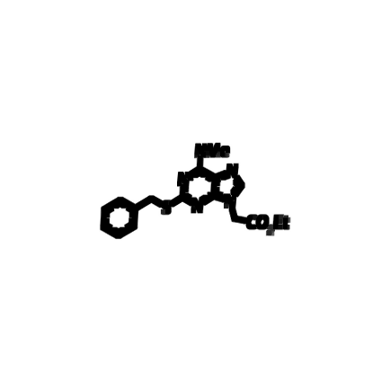 CCOC(=O)Cn1cnc2c(NC)nc(SCc3ccccc3)nc21